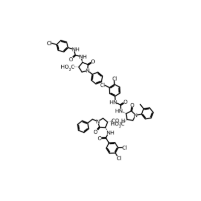 Cc1ccccc1N1C[C@H](C(=O)O)[C@H](NC(=O)Nc2ccc(Cl)c(Cl)c2)C1=O.O=C(N[C@@H]1C(=O)N(Cc2ccccc2)C[C@@H]1C(=O)O)c1ccc(Cl)c(Cl)c1.O=C(Nc1ccc(Cl)cc1)N[C@H]1C(=O)N(c2ccccc2)C[C@@H]1C(=O)O